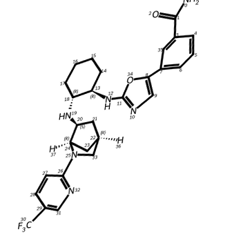 NC(=O)c1cccc(-c2cnc(N[C@@H]3CCCC[C@H]3N[C@H]3C[C@@H]4C[C@H]3N(c3ccc(C(F)(F)F)cn3)C4)o2)c1